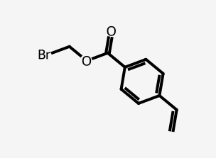 C=Cc1ccc(C(=O)OCBr)cc1